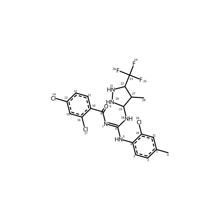 Cc1ccc(N/C(=N/C(=O)c2ccc(Cl)cc2Cl)NC2NNC(C(F)(F)F)C2C)c(Cl)c1